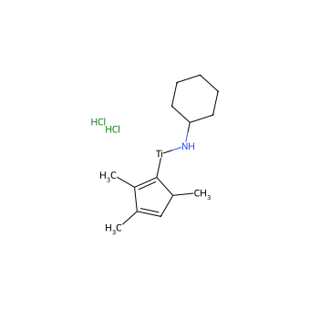 CC1=CC(C)[C]([Ti][NH]C2CCCCC2)=C1C.Cl.Cl